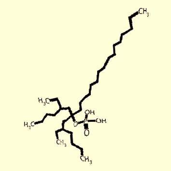 CCCCCCCCCCCCCCCC(CC(CC)CCCC)(CC(CC)CCCC)OP(=O)(O)O